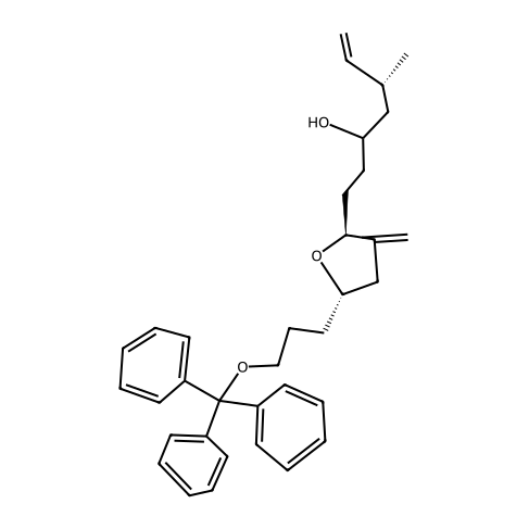 C=C[C@H](C)CC(O)CC[C@@H]1O[C@@H](CCCOC(c2ccccc2)(c2ccccc2)c2ccccc2)CC1=C